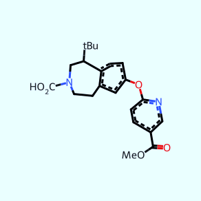 COC(=O)c1ccc(Oc2ccc3c(c2)CCN(C(=O)O)CC3C(C)(C)C)nc1